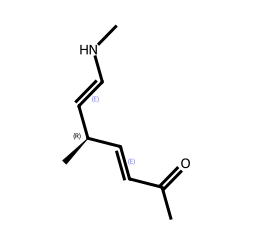 CN/C=C/[C@H](C)/C=C/C(C)=O